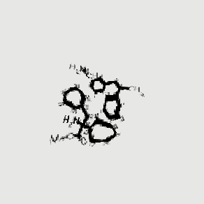 CC(Cc1ccccc1)c1ccccc1.CN.COC(=O)C(N)(Cc1ccccc1)c1ccccc1